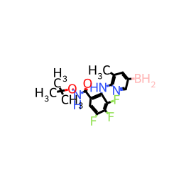 Bc1cnc(Nc2c(C(=O)NOC(C)(C)C)cc(F)c(F)c2F)c(C)c1